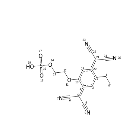 CCc1cc(=C(C#N)C#N)c(OCCOS(=O)(=O)O)cc1=C(C#N)C#N